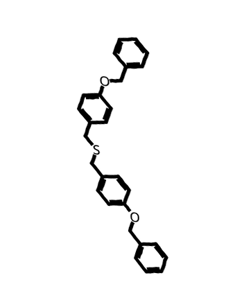 c1ccc(COc2ccc(CSCc3ccc(OCc4ccccc4)cc3)cc2)cc1